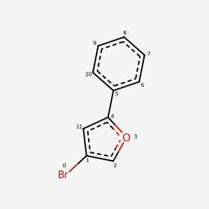 Brc1coc(-c2ccccc2)c1